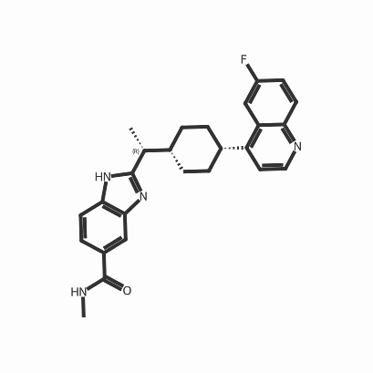 CNC(=O)c1ccc2[nH]c([C@H](C)[C@H]3CC[C@@H](c4ccnc5ccc(F)cc54)CC3)nc2c1